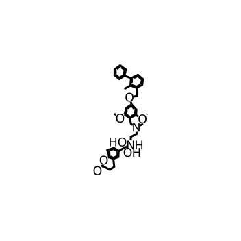 COc1cc(OCc2cccc(-c3ccccc3)c2C)cc(OC)c1CN(C)CCNC(O)(O)c1ccc2c(c1)CCC(=O)O2